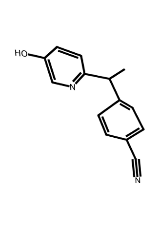 CC(c1ccc(C#N)cc1)c1ccc(O)cn1